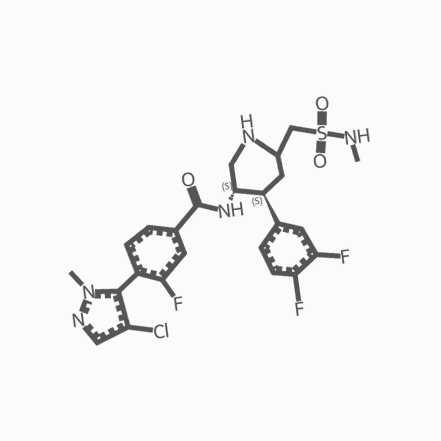 CNS(=O)(=O)CC1C[C@@H](c2ccc(F)c(F)c2)[C@H](NC(=O)c2ccc(-c3c(Cl)cnn3C)c(F)c2)CN1